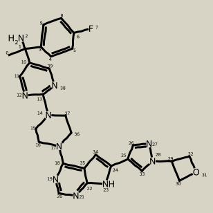 CC(N)(c1ccc(F)cc1)c1cnc(N2CCN(c3ncnc4[nH]c(-c5cnn(C6COC6)c5)cc34)CC2)nc1